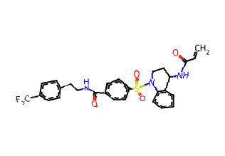 C=CC(=O)NC1CCN(S(=O)(=O)c2ccc(C(=O)NCCc3ccc(C(F)(F)F)cc3)cc2)c2ccccc21